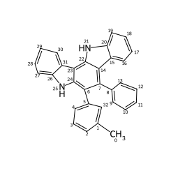 Cc1cccc(-c2c(-c3ccccc3)c3c4ccccc4[nH]c3c3c2[nH]c2ccccc23)c1